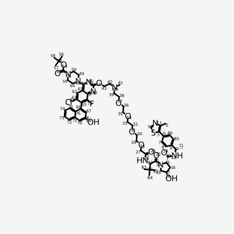 Cc1ncsc1-c1ccc([C@H](C)NC(=O)[C@@H]2C[C@@H](O)CN2C(=O)[C@@H](NC(=O)COCCOCCOCCOCCN(C)CCOc2nc(N3CCN(C(=O)OC(C)(C)C)CC3)c3cc(Cl)c(-c4cc(O)cc5ccccc45)c(F)c3n2)C(C)(C)C)cc1